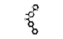 CC1CN(c2ncccn2)CCN1C(=O)c1ccc(-c2ccccc2)cc1